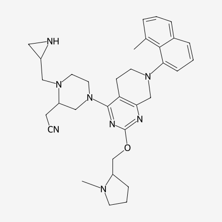 Cc1cccc2cccc(N3CCc4c(nc(OCC5CCCN5C)nc4N4CCN(CC5CN5)C(CC#N)C4)C3)c12